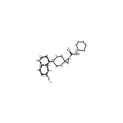 O=C(NN1CCCCC1)[C@H]1CC12CCC(c1ccnc3ccc(F)cc13)CC2